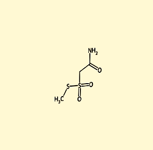 CSS(=O)(=O)CC(N)=O